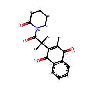 CC1=C(C(C)(C)C(=O)N2CCCCC2=O)C(=O)c2ccccc2C1=O